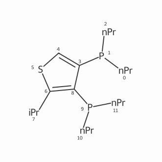 CCCP(CCC)c1csc(C(C)C)c1P(CCC)CCC